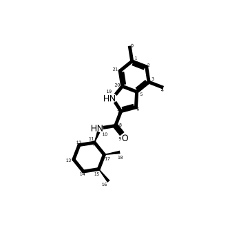 Cc1cc(C)c2cc(C(=O)N[C@@H]3CCC[C@H](C)[C@@H]3C)[nH]c2c1